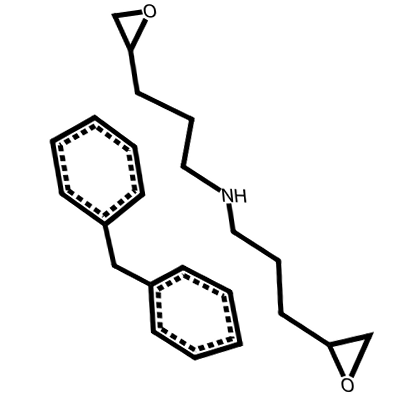 C(CNCCCC1CO1)CC1CO1.c1ccc(Cc2ccccc2)cc1